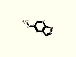 CSc1cnc2[nH]ncc2c1